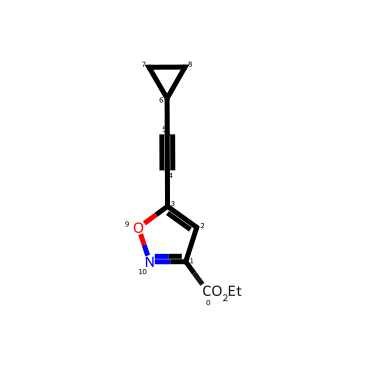 CCOC(=O)c1cc(C#CC2CC2)on1